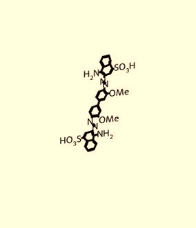 COc1cc(-c2ccc(/N=N/c3cc(S(=O)(=O)O)c4ccccc4c3N)c(OC)c2)ccc1/N=N/c1cc(S(=O)(=O)O)c2ccccc2c1N